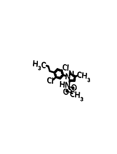 CCCc1cc(Cl)c(-n2nc(C)cc2NS(C)(=O)=O)cc1Cl